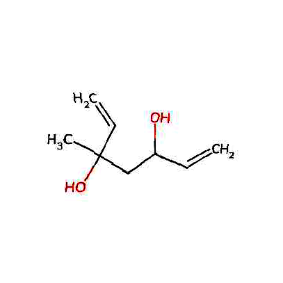 C=CC(O)CC(C)(O)C=C